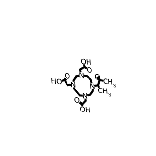 CC(=O)C(C)N1CCN(CC(=O)O)CCN(CC(=O)O)CCN(CC(=O)O)CC1